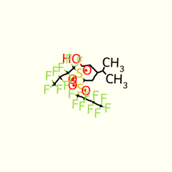 CC(C)C(CCO)CC(S(=O)(=O)C(F)(F)C(F)(F)C(F)(F)C(F)(F)F)S(=O)(=O)C(F)(F)C(F)(F)C(F)(F)C(F)(F)F